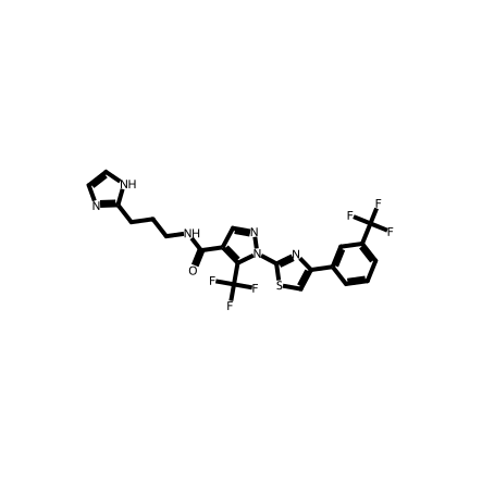 O=C(NCCCc1ncc[nH]1)c1cnn(-c2nc(-c3cccc(C(F)(F)F)c3)cs2)c1C(F)(F)F